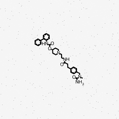 CN(Cc1ccc(CCC(=O)NCCN2CCC(OC(=O)Nc3ccccc3-c3ccccc3)CC2)cc1)C(N)=O